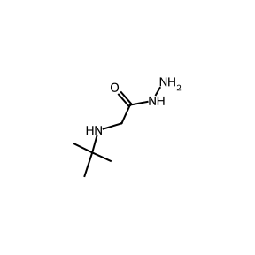 CC(C)(C)NCC(=O)NN